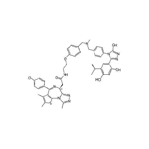 Cc1sc2c(c1C)C(c1ccc(Cl)cc1)=N[C@@H](CC(=O)NCCOc1ccc(CN(C)Cc3ccc(-n4c(O)nnc4-c4cc(C(C)C)c(O)cc4O)cc3)cc1)c1nnc(C)n1-2